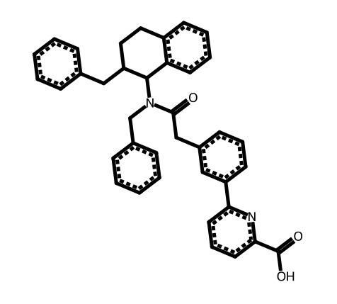 O=C(O)c1cccc(-c2cccc(CC(=O)N(Cc3ccccc3)C3c4ccccc4CCC3Cc3ccccc3)c2)n1